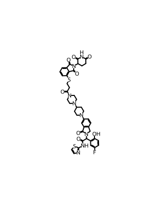 O=C1CCC(N2C(=O)c3cccc(SCCC(=O)N4CCN(C5CCN(c6ccc7c(c6)C(=O)N(C(C(=O)Nc6nccs6)c6cc(F)ccc6O)C7)CC5)CC4)c3C2=O)C(=O)N1